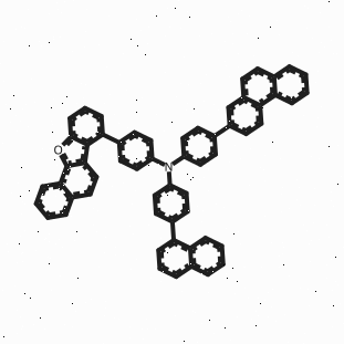 c1ccc2c(-c3ccc(N(c4ccc(-c5ccc6c(ccc7ccccc76)c5)cc4)c4ccc(-c5cccc6oc7c8ccccc8ccc7c56)cc4)cc3)cccc2c1